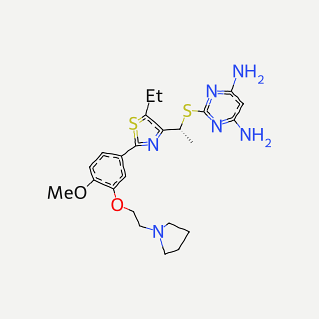 CCc1sc(-c2ccc(OC)c(OCCN3CCCC3)c2)nc1[C@@H](C)Sc1nc(N)cc(N)n1